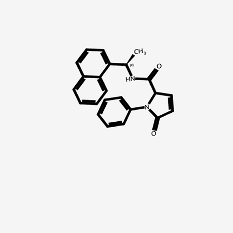 C[C@@H](NC(=O)C1C=CC(=O)N1c1ccccc1)c1cccc2ccccc12